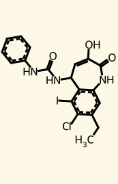 CCc1cc2c(c(I)c1Cl)C(NC(=O)Nc1ccccc1)C=C(O)C(=O)N2